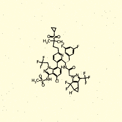 CC(C)(CCc1ccc(-c2ccc(Cl)c3c(NS(C)(=O)=O)nn(CC(F)(F)F)c23)c([C@H](Cc2cc(F)cc(F)c2)NC(=O)Cn2nc(C(F)(F)F)c3c2C(F)(F)[C@@H]2CC32)n1)S(=O)(=O)C1CC1